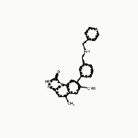 COc1cc2c(C)cc3n[nH]c(=O)n3c2cc1-c1cccc(CNCc2ccncc2)c1